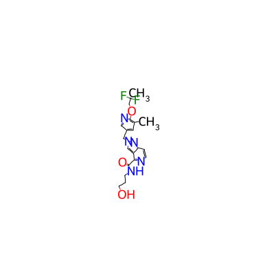 Cc1cc(Cn2cc3c(C(=O)NCCCO)nccc3n2)cnc1OCC(C)(F)F